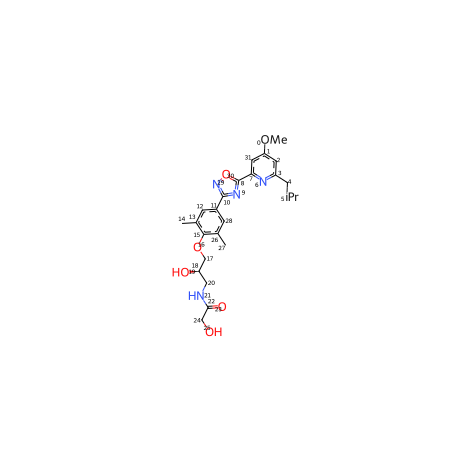 COc1cc(CC(C)C)nc(-c2nc(-c3cc(C)c(OC[C@H](O)CNC(=O)CO)c(C)c3)no2)c1